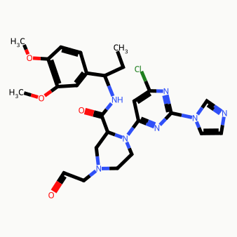 CCC(NC(=O)C1CN(CC=O)CCN1c1cc(Cl)nc(-n2ccnc2)n1)c1ccc(OC)c(OC)c1